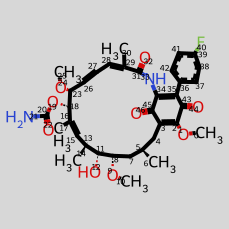 COC1=C2C[C@@H](C)C[C@H](OC)[C@H](O)[C@@H](C)C=C(C)[C@H](OC(N)=O)[C@@H](OC)C=CC=C(C)C(=O)NC(=C(c3ccc(F)cc3)C1=O)C2=O